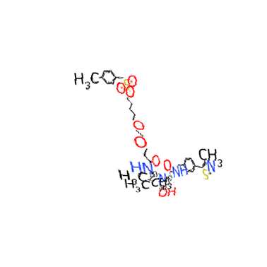 Cc1ccc(CS(=O)(=O)OCCCCCOCCOCCC(=O)N[C@H](CN2C[C@H](O)C[C@H]2C(=O)NCc2ccc(-c3scnc3C)cc2)C(C)(C)C)cc1